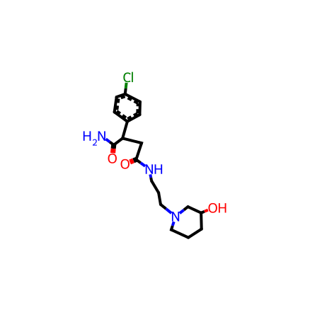 NC(=O)C(CC(=O)NCCCN1CCCC(O)C1)c1ccc(Cl)cc1